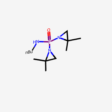 CCCCNP(=O)(N1CC1(C)C)N1CC1(C)C